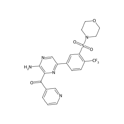 Nc1ncc(-c2ccc(C(F)(F)F)c(S(=O)(=O)N3CCOCC3)c2)nc1C(=O)c1cccnc1